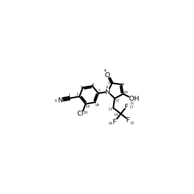 N#Cc1ccc(N2C(=O)C=C(O)C2CC(F)(F)F)cc1Cl